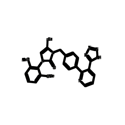 CCCCc1cn(-c2c(OC)cccc2OC)c(=O)n1Cc1ccc(-c2ncccc2-c2nnn[nH]2)cc1